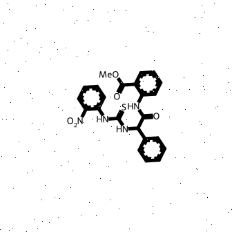 COC(=O)c1ccccc1NC(=O)C(NC(=S)Nc1ccccc1[N+](=O)[O-])c1ccccc1